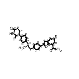 CN(Cc1ccc(-c2cc3cc(F)cc(C(N)=O)c3o2)cc1)Cc1ccc(N2CCC(=O)NC2=O)cc1